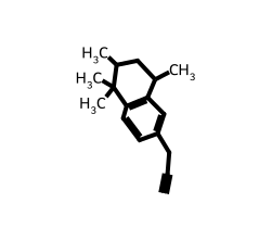 [C]#CCc1ccc2c(c1)C(C)CC(C)C2(C)C